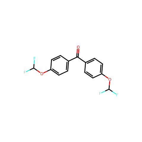 O=C(c1ccc(OC(F)F)cc1)c1ccc(OC(F)F)cc1